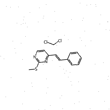 CSc1nccc(C=Cc2ccccc2)n1.ClCCl